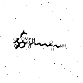 COC1C(OC(=O)NCCCCCC(=O)NCCN)CC[C@]2(CO2)C1C1(C)O[C@@H]1CC=C(C)C